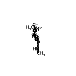 [C-]#[N+]c1cc(-c2nc(-c3ccc(OCCCCNCCC)cc3Cl)no2)ccc1OC(C)C